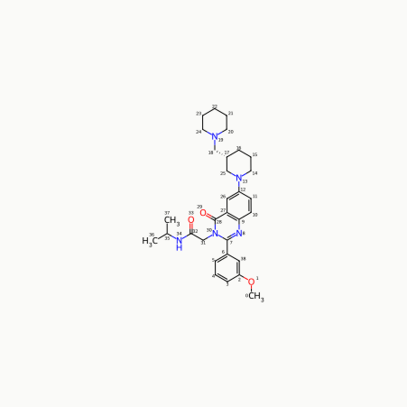 COc1cccc(-c2nc3ccc(N4CCC[C@@H](CN5CCCCC5)C4)cc3c(=O)n2CC(=O)NC(C)C)c1